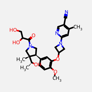 COc1ccc([C@@H]2CN(C(=O)C(O)CO)C[C@@]2(C)[C@@H](C)O)cc1OC1CN(c2cc(C)c(C#N)cn2)C1